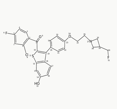 O=C(c1ccc(F)cc1Cl)c1sc2cc(O)ccc2c1-c1ccc(OCCN2CC(CF)C2)cc1